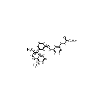 COC(=O)CCc1cccc(COc2cccc(-c3c(C)cnc4c(C(F)(F)F)cccc34)c2)c1